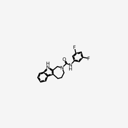 O=C(Nc1cc(F)cc(F)c1)N1CCCc2c([nH]c3ccccc23)C1